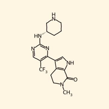 CN1CCc2c(-c3nc(N[C@H]4CCCNC4)ncc3C(F)(F)F)c[nH]c2C1=O